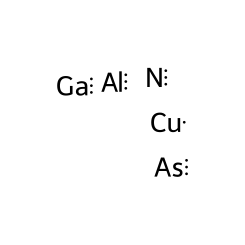 [Al].[As].[Cu].[Ga].[N]